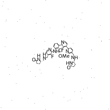 COc1nc(-c2ccnc(-c3cccc(Nc4nccc(CNC[C@@H]5CCC(=O)N5)c4F)c3Cl)c2F)ccc1CNC[C@H]1CCC(=O)N1